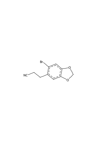 N#CCCc1cc2c(cc1Br)OCO2